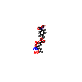 CC(O)CC1NC(=O)C1CC(O)C(=O)OCc1ccc([N+](=O)[O-])cc1